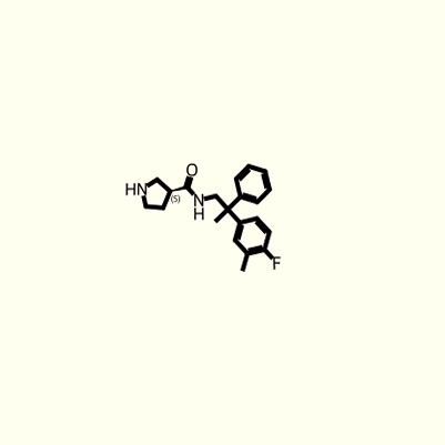 Cc1cc(C(C)(CNC(=O)[C@H]2CCNC2)c2ccccc2)ccc1F